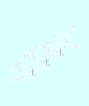 COc1ccc(NC(=O)[C@@H](CCCNC(=N)N)NC(=O)c2cc(NC(=O)[C@@H](CCCNC(=N)N)NC(=O)c3cc(NC(=O)[C@@H](CCCNC(=N)N)NC(=O)c4cc(NC(C)=O)ccc4OC)ccc3OC)ccc2OC)cc1C(=O)N[C@H](Cc1ccc(O)cc1)C(=O)O